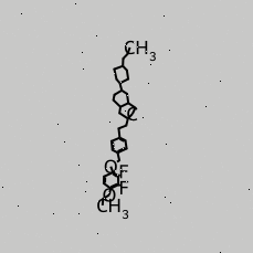 CCCC1CCC(C2CCC3CC(CCc4ccc(COc5ccc(OCC)c(F)c5F)cc4)CCC3C2)CC1